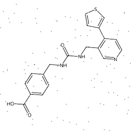 O=C(NCc1ccc(C(=O)O)cc1)NCc1cnccc1-c1ccsc1